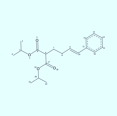 CC(C)OC(=O)C(CCC=Cc1ccccc1)C(=O)OC(C)C